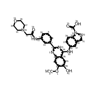 COc1cc2nc(-c3cccc(NC(=O)CN4CCOCC4)c3)nc(Nc3ccc4c(cnn4C(=O)O)c3)c2cc1O